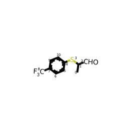 CC(C=O)Sc1ccc(C(F)(F)F)cc1